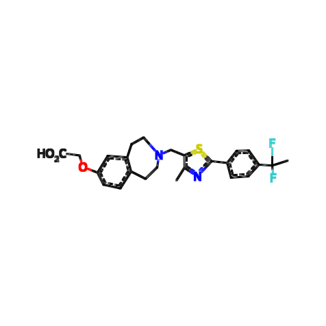 Cc1nc(-c2ccc(C(C)(F)F)cc2)sc1CN1CCc2ccc(OCC(=O)O)cc2CC1